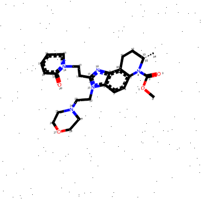 COC(=O)N1c2ccc3c(nc(CCn4ccccc4=O)n3CCN3CCOCC3)c2CC[C@@H]1C